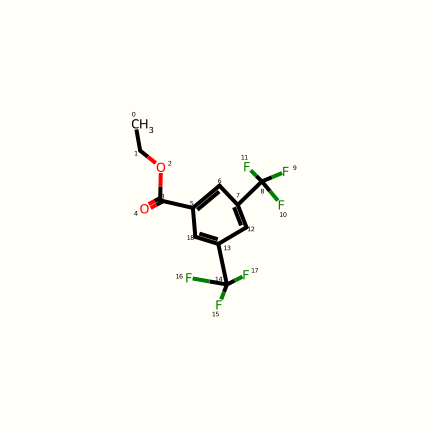 CCOC(=O)c1cc(C(F)(F)F)cc(C(F)(F)F)c1